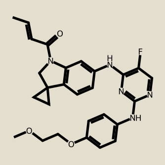 CC=CC(=O)N1CC2(CC2)c2ccc(Nc3nc(Nc4ccc(OCCOC)cc4)ncc3F)cc21